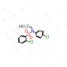 O=C(O)CN(c1ccc(Cl)cc1)S(=O)(=O)c1ccccc1Cl